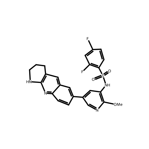 COc1ncc(-c2ccc3nc4c(cc3c2)CCCN4)cc1NS(=O)(=O)c1ccc(F)cc1F